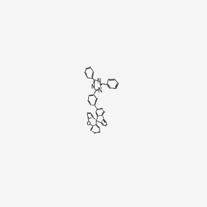 c1ccc(-c2nc(-c3ccccc3)nc(-c3cccc(-c4ccc5c(c4)C4(c6ccccc6Oc6ccccc64)c4ccccc4-5)c3)n2)cc1